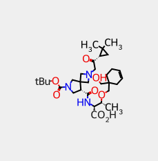 C[C@@H](OCC1(CO)CC=CCC1)[C@H](NC(=O)[C@@H]1CN(C(=O)OC(C)(C)C)CC12CN(CC(=O)[C@H]1CC1(C)C)C2)C(=O)O